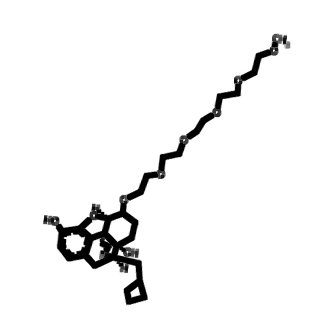 COCCOCCOCCOCCOCCOC1CC[C@@]2(O)[C@H]3Cc4ccc(O)c5c4[C@@]2(CCN3CC2CCC2)[C@H]1O5